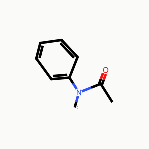 [CH]N(C(C)=O)c1ccccc1